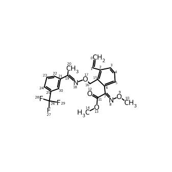 C=Cc1cccc(/C(=N\OC)C(=O)OC)c1CO/N=C(\C)c1cccc(C(F)(F)F)c1